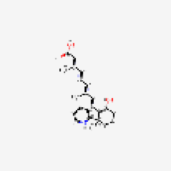 CC(/C=C/C1=C(O)CCC[C@]1(C)c1ccccn1)=C\C=C\C(C)=C\C(=O)O